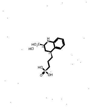 Cl.O=C(O)[C@@H]1C[C@H](CCCP(=O)(O)O)c2ccccc2N1